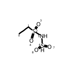 CCS(=O)(=O)N[SH](=O)=O